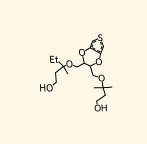 CCC(C)(CCO)OCC1Oc2cscc2OC1COC(C)(C)CCO